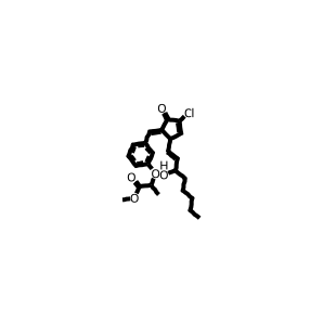 CCCCCC(O)/C=C/C1C=C(Cl)C(=O)/C1=C/c1cccc(OC(C)C(=O)OC)c1